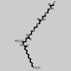 O=C(O)CCCCCCCCCC(=O)NC(CCC(=O)NCCOCCOCC(=O)NCCOCCNC(=O)CI)C(=O)O